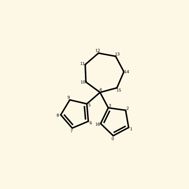 C1=CCC(C2(C3=CC=CC3)CCCCCC2)=C1